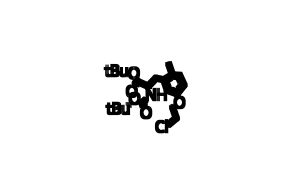 Cc1ccc(OCCCl)cc1CC(NC(=O)OC(C)(C)C)C(=O)OC(C)(C)C